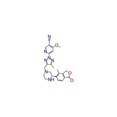 COc1cc(-n2nc(C)c(CN3CCN[C@H](c4ccc5c(c4C)COC5=O)C3)n2)ncc1C#N